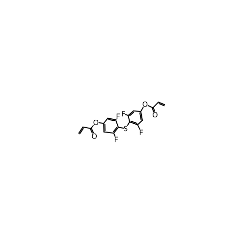 C=CC(=O)Oc1cc(F)c(Sc2c(F)cc(OC(=O)C=C)cc2F)c(F)c1